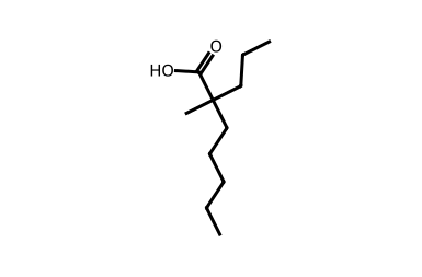 CCCCCC(C)(CCC)C(=O)O